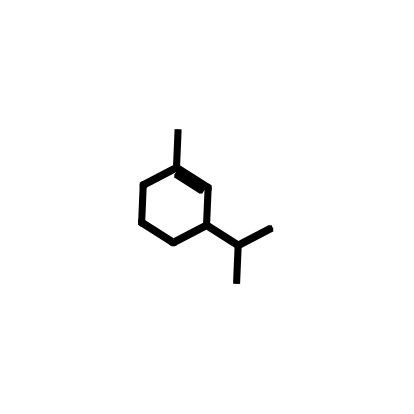 CC1=CC(C(C)C)CCC1